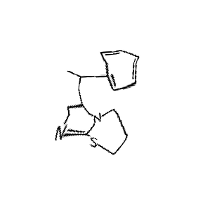 CC(c1ccccc1)C1CN=C2SCCCN21